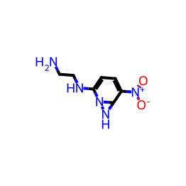 NCCNC1=CC=C([N+](=O)[O-])C2NN12